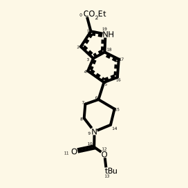 CCOC(=O)c1cc2cc(C3CCN(C(=O)OC(C)(C)C)CC3)ccc2[nH]1